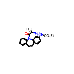 CCOC(=O)Nc1ccc2c(c1)N(C(=O)C(C)N)c1ccccc1CC2